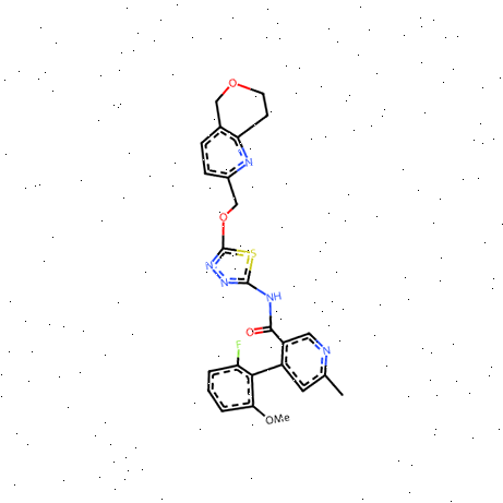 COc1cccc(F)c1-c1cc(C)ncc1C(=O)Nc1nnc(OCc2ccc3c(n2)CCOC3)s1